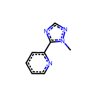 Cn1ncnc1-c1ccccn1